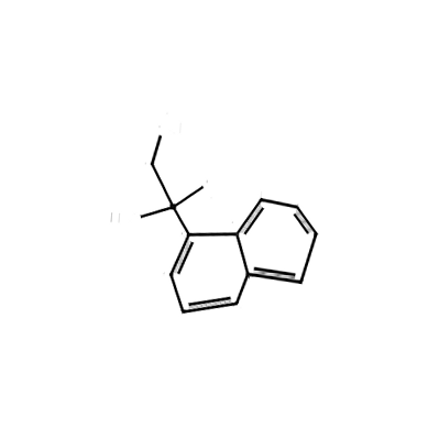 CC(C)(CC(Cl)(Cl)Cl)c1cccc2ccccc12